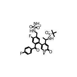 CC(N[S@@+]([O-])C(C)(C)C)c1cc(=O)n(C)cc1-c1cc(CNS(N)(=O)=O)c(F)cc1C(=O)c1ccc(F)cc1